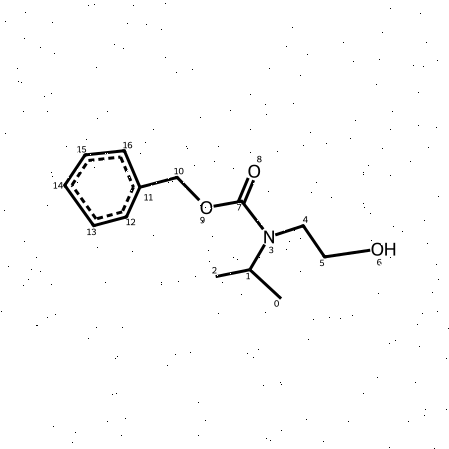 CC(C)N(CCO)C(=O)OCc1ccccc1